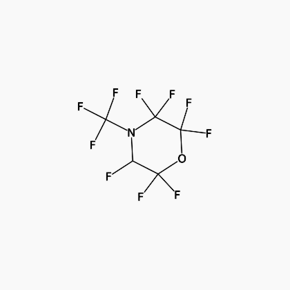 FC1N(C(F)(F)F)C(F)(F)C(F)(F)OC1(F)F